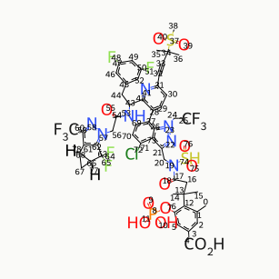 Cc1cc(C(=O)O)cc(OP(=O)(O)O)c1C(C)(C)CC(=O)N(Cc1nn(CC(F)(F)F)c2c(-c3ccc(C#CC(C)(C)S(C)(=O)=O)nc3C(Cc3cc(F)cc(F)c3)NC(=O)Cn3nc(C(F)(F)F)c4c3C(F)(F)[C@@H]3C[C@H]43)ccc(Cl)c12)[SH](=O)=O